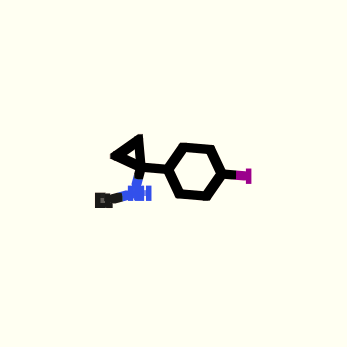 CCNC1(C2CCC(I)CC2)CC1